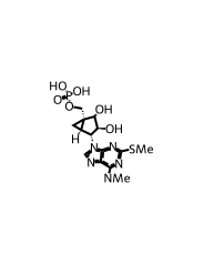 CNc1nc(SC)nc2c1ncn2[C@H]1[C@H](O)[C@H](O)[C@]2(COP(=O)(O)O)C[C@H]12